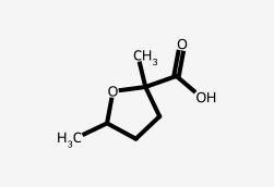 CC1CCC(C)(C(=O)O)O1